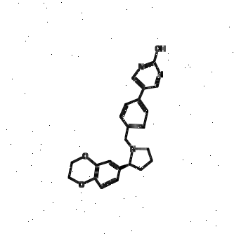 Oc1ncc(-c2ccc(CN3CCC[C@H]3c3ccc4c(c3)OCCO4)cc2)cn1